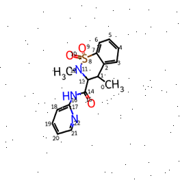 CC1c2ccccc2S(=O)(=O)N(C)C1C(=O)Nc1ccccn1